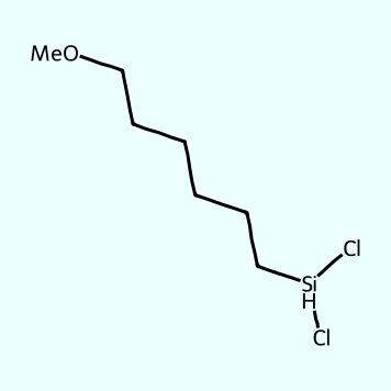 COCCCCCC[SiH](Cl)Cl